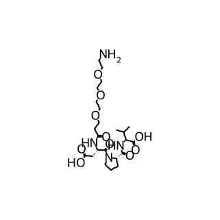 CC(C)[C@H](NC(=O)[C@@H]1CCCN1C(=O)[C@H](CC(=O)O)NC(=O)CCOCCOCCOCCN)C(=O)O